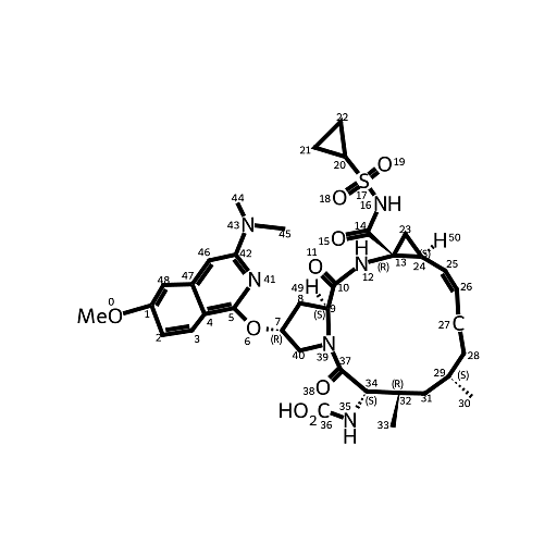 COc1ccc2c(O[C@@H]3C[C@H]4C(=O)N[C@]5(C(=O)NS(=O)(=O)C6CC6)C[C@H]5C=CCC[C@H](C)C[C@@H](C)[C@H](NC(=O)O)C(=O)N4C3)nc(N(C)C)cc2c1